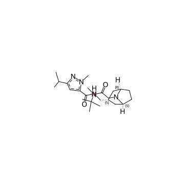 CC(C)c1cc(C(=O)NC[C@@H]2C[C@H]3CC[C@@H](C2)N3CC(=O)N(C)C(C)(C)C)n(C)n1